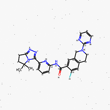 CC1(C)CCc2nnc(-c3cccc(NC(=O)c4cc5c(cc4F)CCN(c4ncccn4)C5)n3)n21